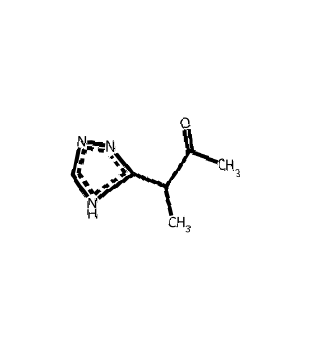 CC(=O)C(C)c1nnc[nH]1